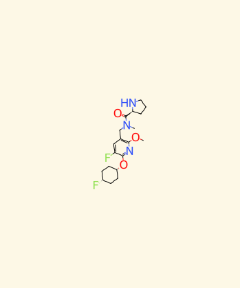 COc1nc(O[C@H]2CC[C@@H](F)CC2)c(F)cc1CN(C)C(=O)[C@@H]1CCCN1